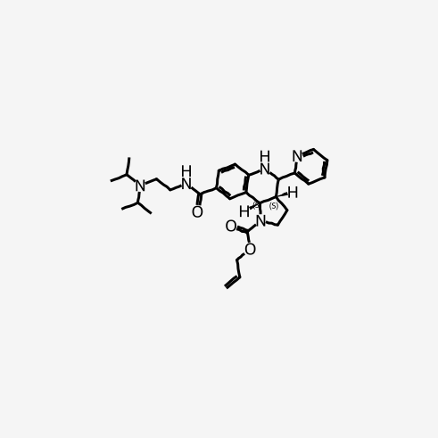 C=CCOC(=O)N1CC[C@H]2C(c3ccccn3)Nc3ccc(C(=O)NCCN(C(C)C)C(C)C)cc3[C@H]21